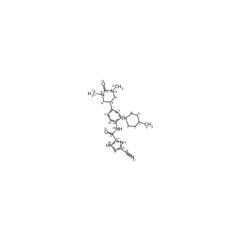 CC1CCN(c2cc(C3CN(C)C(=O)N(C)C3)ccc2NC(=O)c2nc(C#N)c[nH]2)CC1